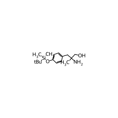 CC(N)(CO)Cc1ccc(O[Si](C)(C)C(C)(C)C)cc1